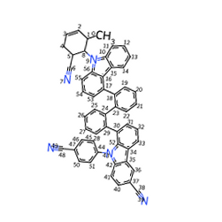 CC1C=CCC(C#N)C1n1c2ccccc2c2c(-c3ccccc3-c3ccccc3-c3cccc4c5cc(C#N)ccc5n(-c5ccc(C#N)cc5)c34)cccc21